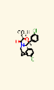 C[C@]1(c2cccc(Cl)c2)O[C@H](CC(=O)O)C(=O)N(CC2CC2)[C@H]1c1ccc(Cl)cc1